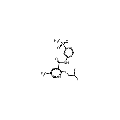 CS(=O)(=O)c1cccc(NC(=O)c2cc(C(F)(F)F)cnc2OCC(F)F)c1